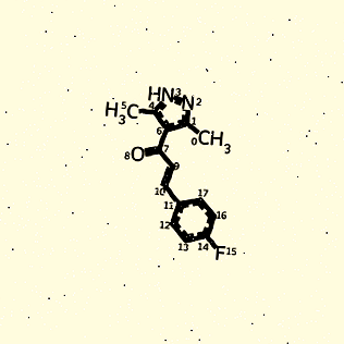 Cc1n[nH]c(C)c1C(=O)C=Cc1ccc(F)cc1